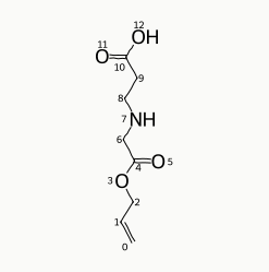 C=CCOC(=O)CNCCC(=O)O